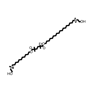 CCC(C)(CCC(C)(C)C(=O)OCCCCCCCCCCC[N+](C)(C)CCO)C(=O)OCCCCCCCCCCCCCCCCCC[N+](C)(C)CCO